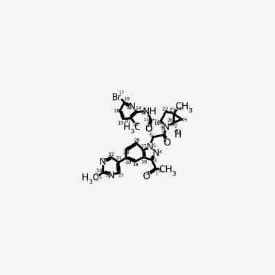 CC(=O)c1nn(CC(=O)N2[C@H](C(=O)Nc3nc(Br)ccc3C)CC3(C)C[C@@H]23)c2ccc(-c3cnc(C)nc3)cc12